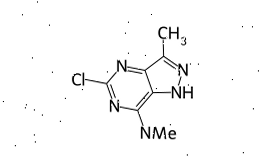 CNc1nc(Cl)nc2c(C)n[nH]c12